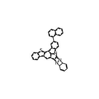 C1=CC2C(C=C1)n1c3c(c4cc5c6ccccc6sc5c5c6cc(-c7cccc8ccccc78)ccc6n3c45)n12